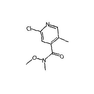 CON(C)C(=O)c1cc(Cl)ncc1C